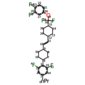 CCCc1cc(F)c(C2CCC(/C=C/C3CCC(C(F)(F)Oc4ccc(F)c(F)c4)CC3)CC2)c(F)c1